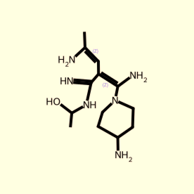 C/C(N)=C/C(C(=N)NC(C)O)=C(\N)N1CCC(N)CC1